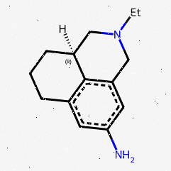 CCN1Cc2cc(N)cc3c2[C@@H](CCC3)C1